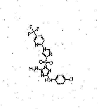 Nc1nc(Nc2ccc(Cl)cc2)nn1S(=O)(=O)c1cn(-c2ccc(C(F)(F)F)cn2)cn1